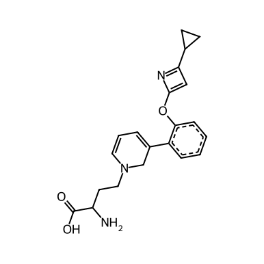 NC(CCN1C=CC=C(c2ccccc2OC2=CC(C3CC3)=N2)C1)C(=O)O